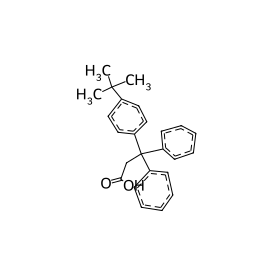 CC(C)(C)c1ccc(C(CC(=O)O)(c2ccccc2)c2ccccc2)cc1